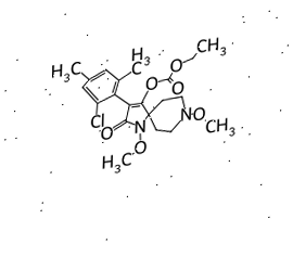 CCOC(=O)OC1=C(c2c(C)cc(C)cc2Cl)C(=O)N(OC)C12CCN(OC)CC2